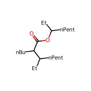 CCCCCC(CC)OC(=O)C(CCCC)C(CC)CCCCC